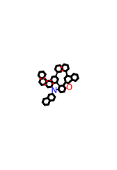 c1ccc(-c2ccc(N(c3ccc4ccccc4c3)c3ccc4oc5c6ccccc6c(-c6ccccc6)cc5c4c3-c3cc(-c4ccccc4)cc(-c4ccccc4)c3)cc2)cc1